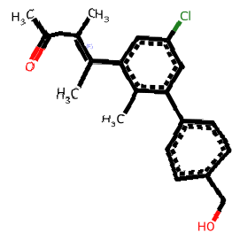 CC(=O)/C(C)=C(\C)c1cc(Cl)cc(-c2ccc(CO)cc2)c1C